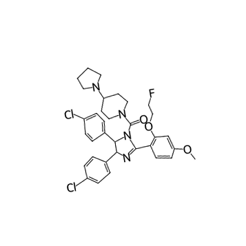 COc1ccc(C2=NC(c3ccc(Cl)cc3)C(c3ccc(Cl)cc3)N2C(=O)N2CCC(N3CCCC3)CC2)c(OCCF)c1